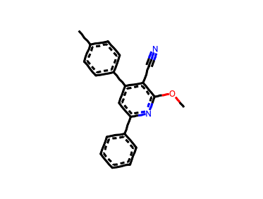 COc1nc(-c2ccccc2)cc(-c2ccc(C)cc2)c1C#N